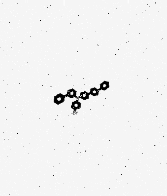 Brc1ccc(N(c2ccc(-c3ccc(-c4ccccc4)cc3)cc2)c2cccc(-c3ccccc3)c2)cc1